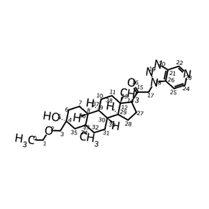 CCOC[C@@]1(O)CC[C@@H]2[C@H]3CC[C@]4(C)[C@@H](C(=O)Cn5nnc6cnccc65)CC[C@H]4[C@@H]3CC[C@@]2(C)C1